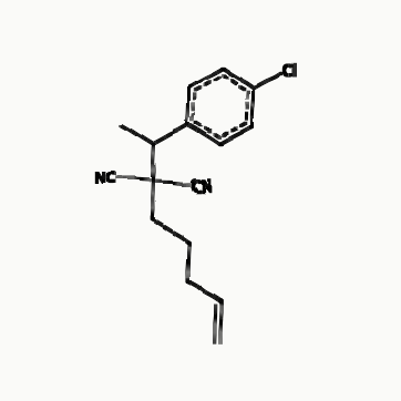 C=CCCCC(C#N)(C#N)C(C)c1ccc(Cl)cc1